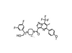 COc1ccc(-c2nc3c(C(=O)N4CCN([C@@H](CO)c5cc(F)cc(F)c5)C[C@H]4C)cnn3c(C(F)(F)F)c2C)cc1